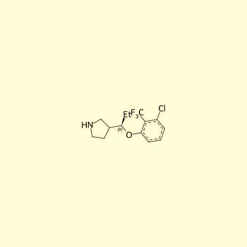 CC[C@@H](Oc1cccc(Cl)c1C(F)(F)F)C1CCNC1